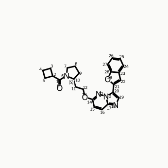 O=C(C1CCC1)N1CCC[C@H]1CCOc1ccc2ncc(-c3cc4ccccc4o3)n2n1